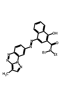 CCN(CC)C(=O)c1cc(/N=N/c2ccc3nnc4c(C)cnn4c3c2)c2ccccc2c1O